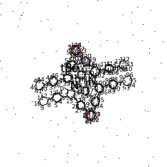 CC1C(c2ccc(C3CCCCC3)cc2)=CC(c2ccc(C3CCCCC3)cc2)=CC1N(c1cc(-c2ccc(C3CCCCC3)cc2)cc(-c2ccc(C3CCCCC3)cc2)c1)c1c2ccccc2c(N(c2cc(-c3ccc(C4CCCCC4)cc3)cc(-c3ccc(C4CCCCC4)cc3)c2)c2cc(-c3ccc(C4CCCCC4)cc3)cc(-c3ccc(C4CCCCC4)cc3)c2)c2ccc(C(C)(C)C)cc12